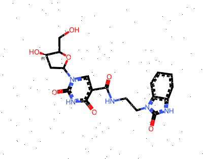 O=C(NCCn1c(=O)[nH]c2ccccc21)c1cn(C2C[C@@H](O)C(CO)O2)c(=O)[nH]c1=O